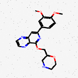 COc1ccc(-c2cc3nccnc3c(OCC3CNCCO3)n2)cc1OC